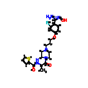 C[C@@H](NC(=O)c1cccs1)C(=O)N1CCN(CCCOc2ccc(/C(N)=N\O)c(F)c2)CC1